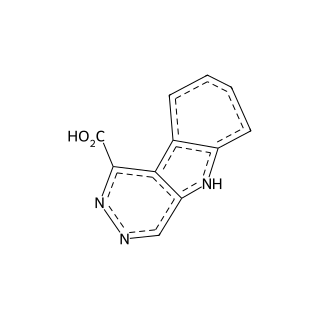 O=C(O)c1nncc2[nH]c3ccccc3c12